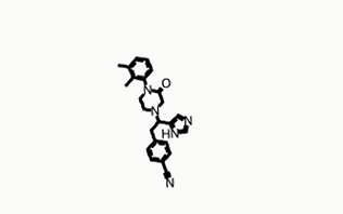 Cc1cccc(N2CCN(C(Cc3ccc(C#N)cc3)c3cnc[nH]3)CC2=O)c1C